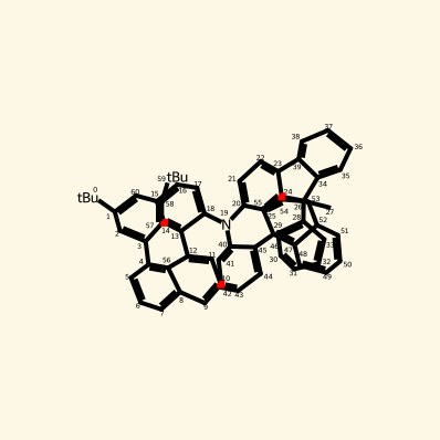 CC(C)(C)c1cc(-c2cccc3cccc(-c4ccccc4N(c4ccc5c(c4)C(C)(c4ccccc4)c4ccccc4-5)c4ccccc4C4=C5C=CC=CC5CC=C4)c23)cc(C(C)(C)C)c1